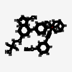 COc1cc(C#CC(C(C)C)N2C3CC2CN(c2ccc(-c4cc(OCC(C)(C)O)cn5ncc(C#N)c45)cn2)C3)ccn1